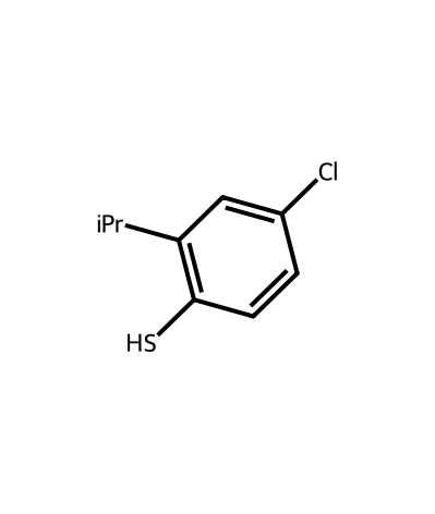 CC(C)c1cc(Cl)ccc1S